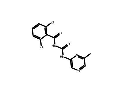 Cc1cncc(NC(=O)NC(=O)c2c(Cl)cccc2Cl)n1